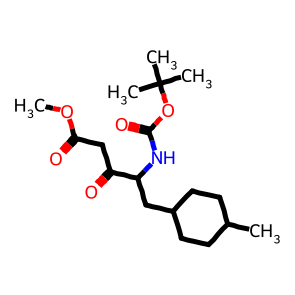 COC(=O)CC(=O)C(CC1CCC(C)CC1)NC(=O)OC(C)(C)C